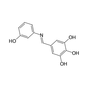 Oc1cccc(/N=C/c2cc(O)c(O)c(O)c2)c1